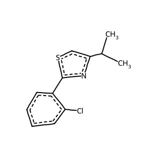 CC(C)c1csc(-c2ccccc2Cl)n1